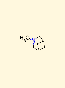 CN1CC2[CH]C(C2)C1